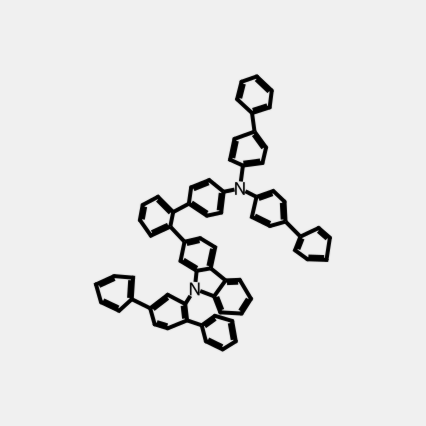 c1ccc(-c2ccc(N(c3ccc(-c4ccccc4)cc3)c3ccc(-c4ccccc4-c4ccc5c6ccccc6n(-c6cc(-c7ccccc7)ccc6-c6ccccc6)c5c4)cc3)cc2)cc1